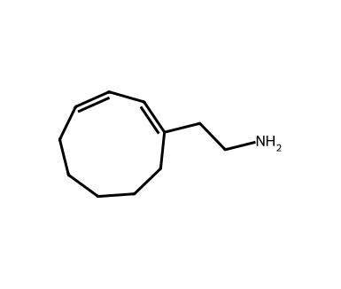 NCCC1=CC=CCCCCC1